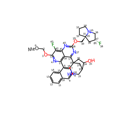 COCOc1nc(-c2cccc3ccccc23)c2c(C34CNCC(C3)C(O)C4)nc(OC[C@@]34CCCN3C[C@H](F)C4)nc2c1F